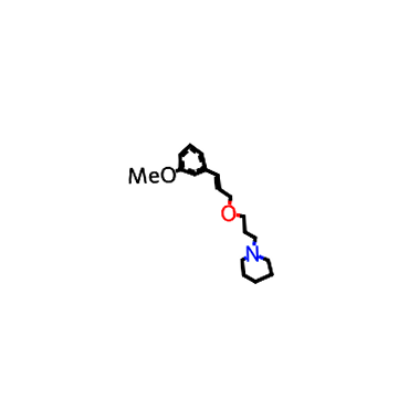 COc1cccc(C=CCOCCCN2CCCCC2)c1